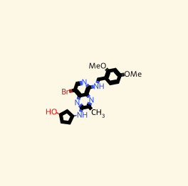 COc1ccc(CNc2ncc(Br)c3nc(N[C@@H]4CC[C@H](O)C4)c(C)nc23)c(OC)c1